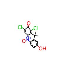 CC1(C)C2=C(Cl)C(=O)C(Cl)=CC2=[N+]([O-])c2ccc(O)cc21